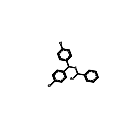 CC(=O)C(SC(c1ccc(Cl)cc1)c1ccc(Cl)cc1)c1ccccc1